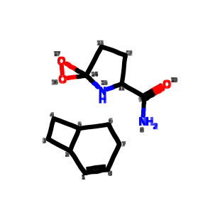 C1=CC2CCC2CC1.NC(=O)C1CCC2(N1)OO2